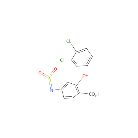 Clc1ccccc1Cl.O=C(O)c1ccc(N=S(=O)=O)cc1O